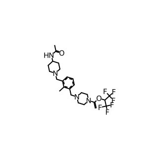 C=C(OC(C(F)(F)F)C(F)(F)F)N1CCN(Cc2cccc(CN3CCC(NC(C)=O)CC3)c2C)CC1